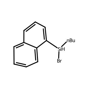 CCCC[SiH](Br)c1cccc2ccccc12